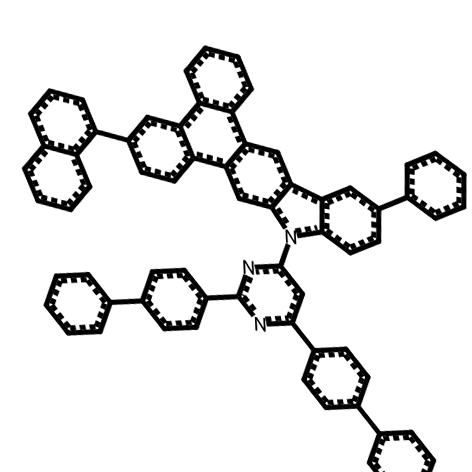 c1ccc(-c2ccc(-c3cc(-n4c5ccc(-c6ccccc6)cc5c5cc6c7ccccc7c7cc(-c8cccc9ccccc89)ccc7c6cc54)nc(-c4ccc(-c5ccccc5)cc4)n3)cc2)cc1